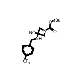 CC(C)(C)OC(=O)N1CC(C#N)(NCc2ccc(C(F)(F)F)cc2)C1